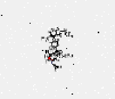 CC(C)(C)OC(=O)N1[C@H](C(=O)N2CCN(c3c(C(F)(F)F)cnc4sc(CC(F)(F)F)cc34)CC2)[C@@H]2CC[C@H]1/C(=C\C1CC1)[C@@H]2F